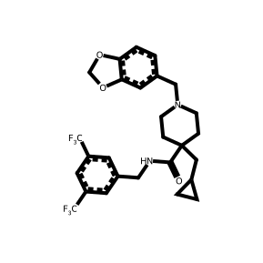 O=C(NCc1cc(C(F)(F)F)cc(C(F)(F)F)c1)C1(CC2CC2)CCN(Cc2ccc3c(c2)OCO3)CC1